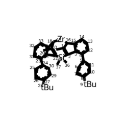 CC1=C2c3c(-c4ccc(C(C)(C)C)cc4)cccc3[CH]1[Zr][CH]1C(C)=C(c3c(-c4ccc(C(C)(C)C)cc4)cccc31)[Si]2(C)C